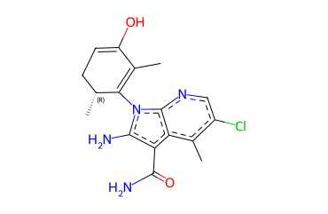 CC1=C(n2c(N)c(C(N)=O)c3c(C)c(Cl)cnc32)[C@H](C)CC=C1O